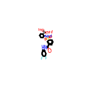 O=C(Nc1ccc(F)c(F)c1)c1cccc(S(=O)(=O)Nc2ccccc2B(O)O)c1